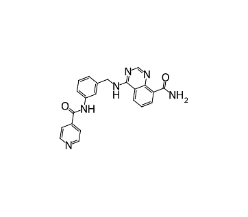 NC(=O)c1cccc2c(NCc3cccc(NC(=O)c4ccncc4)c3)ncnc12